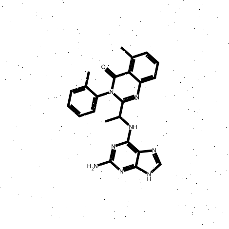 Cc1ccccc1-n1c(C(C)Nc2nc(N)nc3[nH]cnc23)nc2cccc(C)c2c1=O